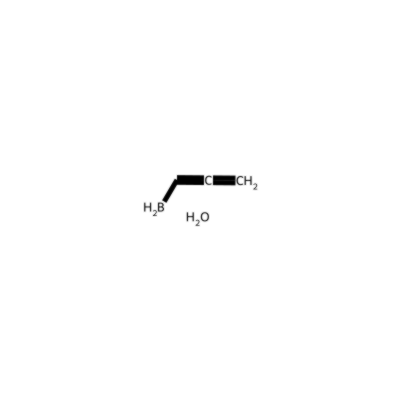 BC=C=C.O